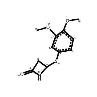 COc1ccc(SC2CC(=O)N2)cc1OC